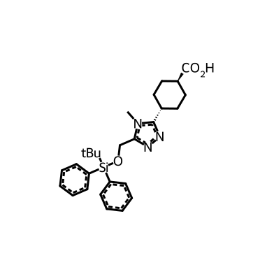 Cn1c(CO[Si](c2ccccc2)(c2ccccc2)C(C)(C)C)nnc1[C@H]1CC[C@H](C(=O)O)CC1